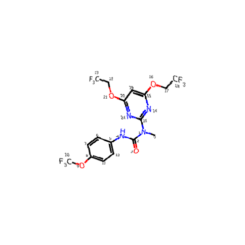 CN(C(=O)Nc1ccc(OC(F)(F)F)cc1)c1nc(OCC(F)(F)F)cc(OCC(F)(F)F)n1